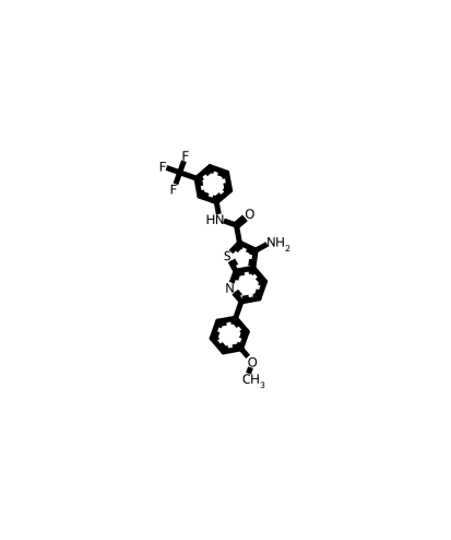 COc1cccc(-c2ccc3c(N)c(C(=O)Nc4cccc(C(F)(F)F)c4)sc3n2)c1